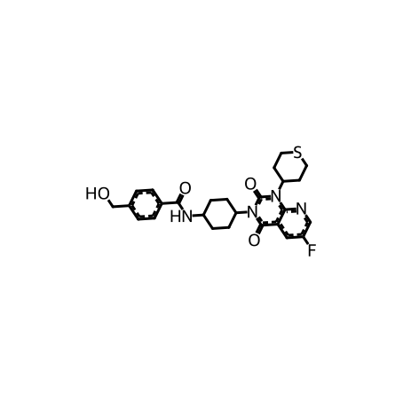 O=C(NC1CCC(n2c(=O)c3cc(F)cnc3n(C3CCSCC3)c2=O)CC1)c1ccc(CO)cc1